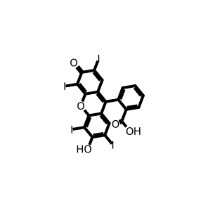 O=C(O)c1ccccc1-c1c2cc(I)c(=O)c(I)c-2oc2c(I)c(O)c(I)cc12